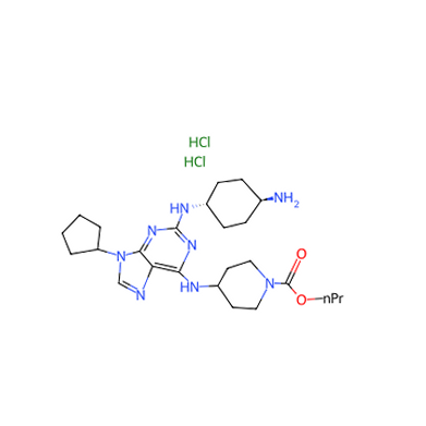 CCCOC(=O)N1CCC(Nc2nc(N[C@H]3CC[C@H](N)CC3)nc3c2ncn3C2CCCC2)CC1.Cl.Cl